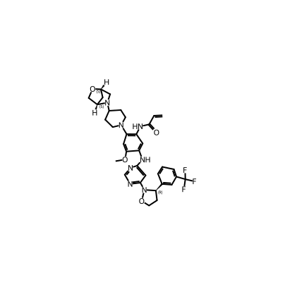 C=CC(=O)Nc1cc(Nc2cc(N3OCC[C@@H]3c3cccc(C(F)(F)F)c3)ncn2)c(OC)cc1N1CCC(N2C[C@@H]3C[C@H]2CO3)CC1